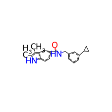 Cc1[nH]c2ccc(C(=O)NCc3cccc(C4CC4)c3)cc2c1C